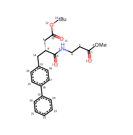 COC(=O)CCNC(=O)[C@@H](CC(=O)OC(C)(C)C)Cc1ccc(-c2ccccc2)cc1